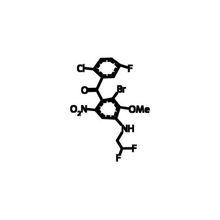 COc1c(NCC(F)F)cc([N+](=O)[O-])c(C(=O)c2cc(F)ccc2Cl)c1Br